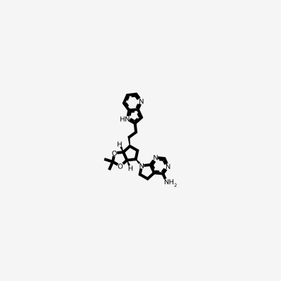 CC1(C)O[C@@H]2[C@@H](CCc3cc4ncccc4[nH]3)C[C@@H](N3CCc4c(N)ncnc43)[C@@H]2O1